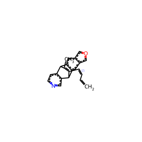 C=C/C=C\C1=C(C)C2c3ccncc3C1c1cc3cocc3cc12